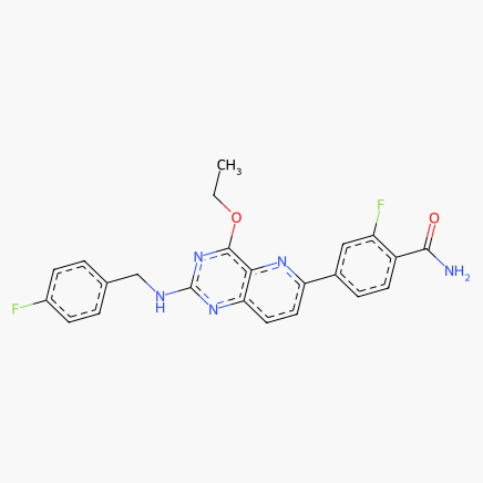 CCOc1nc(NCc2ccc(F)cc2)nc2ccc(-c3ccc(C(N)=O)c(F)c3)nc12